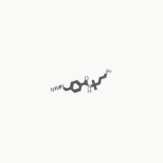 CC(C)CCCC(C)(C)NC(=O)c1ccc(CN=[N+]=[N-])cc1